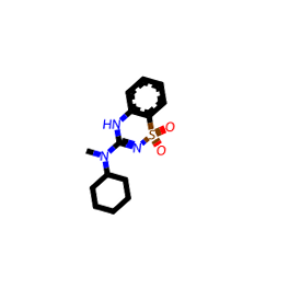 CN(C1=NS(=O)(=O)c2ccccc2N1)C1CCCCC1